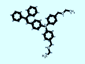 CCOCc1ccc(N(c2ccc(C=C(c3ccccc3)c3ccccc3)cc2)c2ccc(COCC)cc2)cc1